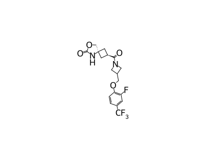 O=C1N[C@]2(CO1)C[C@H](C(=O)N1CC(COc3ccc(C(F)(F)F)cc3F)C1)C2